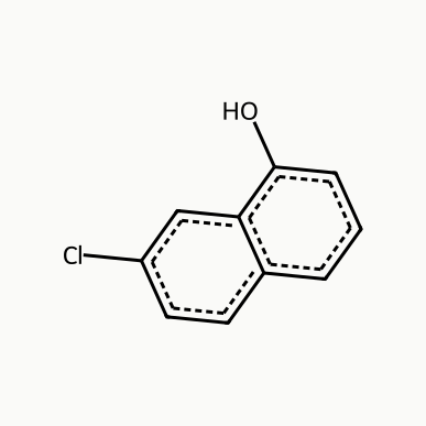 Oc1cccc2ccc(Cl)cc12